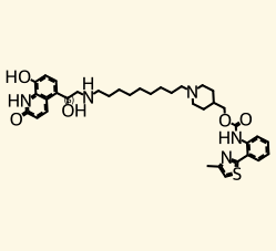 Cc1csc(-c2ccccc2NC(=O)OCC2CCN(CCCCCCCCCNC[C@@H](O)c3ccc(O)c4[nH]c(=O)ccc34)CC2)n1